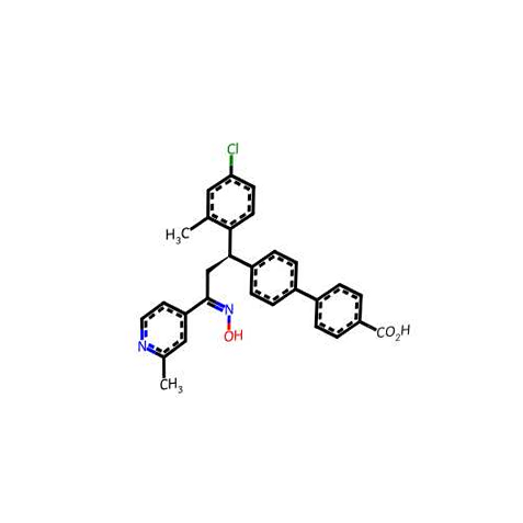 Cc1cc(C(C[C@H](c2ccc(-c3ccc(C(=O)O)cc3)cc2)c2ccc(Cl)cc2C)=NO)ccn1